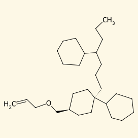 C=CCOC[C@H]1CC[C@@](CCCC(CCC)C2CCCCC2)(C2CCCCC2)CC1